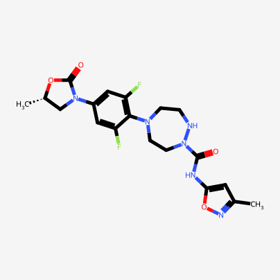 Cc1cc(NC(=O)N2CCN(c3c(F)cc(N4C[C@H](C)OC4=O)cc3F)CCN2)on1